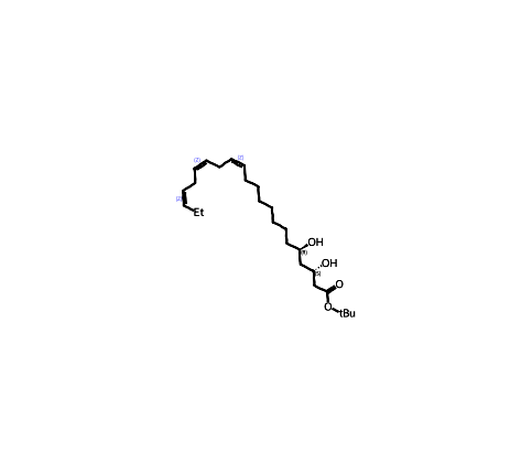 CC/C=C\C/C=C\C/C=C\CCCCCCC[C@@H](O)C[C@H](O)CC(=O)OC(C)(C)C